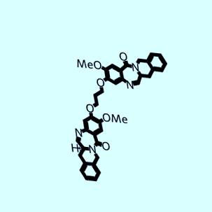 COc1cc2c(cc1OCCCOc1cc3c(cc1OC)C(=O)N1Cc4ccccc4C[C@H]1C=N3)N=CC1Cc3ccccc3CN1C2=O